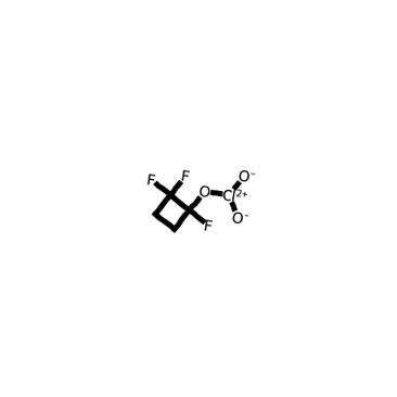 [O-][Cl+2]([O-])OC1(F)CCC1(F)F